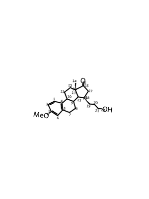 COc1ccc2c(c1)CCC1C2CC[C@]2(C)C(=O)C[C@@H](CCCO)C12